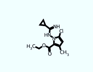 CCOC(=O)c1c(C)cc(Cl)n1NC(=N)C1CC1